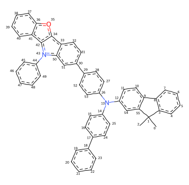 CC1(C)c2ccccc2-c2ccc(N(c3ccc(-c4ccccc4)cc3)c3ccc(-c4ccc5c6oc7ccccc7c6n(-c6ccccc6)c5c4)cc3)cc21